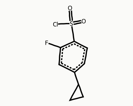 O=S(=O)(Cl)c1ccc(C2CC2)cc1F